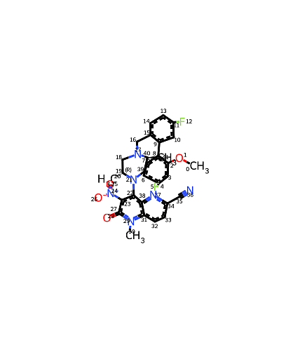 COc1cc(F)ccc1-c1cc(F)ccc1CN1C[C@@H](C)N(c2c([N+](=O)[O-])c(=O)n(C)c3ccc(C#N)nc23)C[C@@H]1C